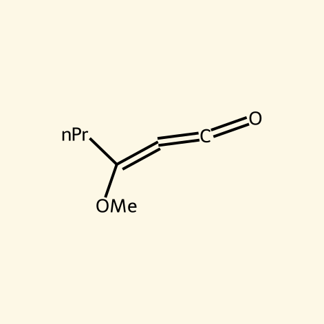 CCCC(=C=C=O)OC